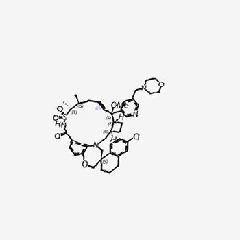 CO[C@]1(c2cncc(CN3CCOCC3)c2)/C=C/C[C@H](C)[C@@H](C)S(=O)(=O)NC(=O)c2ccc3c(c2)N(C[C@@H]2CC[C@H]21)C[C@@]1(CCCc2cc(Cl)ccc21)CO3